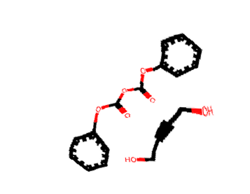 O=C(OC(=O)Oc1ccccc1)Oc1ccccc1.OCC#CCO